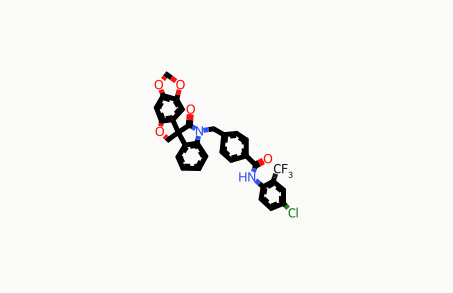 O=C(Nc1ccc(Cl)cc1C(F)(F)F)c1ccc(CN2C(=O)C3(COc4cc5c(cc43)OCO5)c3ccccc32)cc1